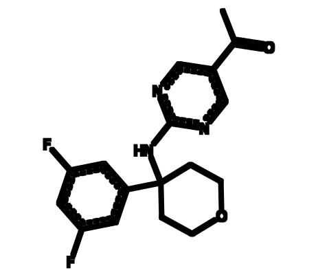 CC(=O)c1cnc(NC2(c3cc(F)cc(F)c3)CCOCC2)nc1